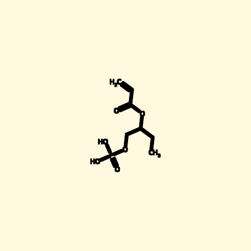 C=CC(=O)OC(CC)COP(=O)(O)O